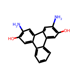 Nc1cc2c3cc(N)c(O)cc3c3ccccc3c2cc1O